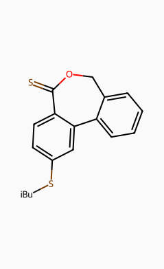 CCC(C)Sc1ccc2c(c1)-c1ccccc1COC2=S